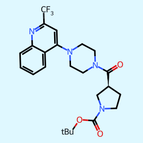 CC(C)(C)OC(=O)N1CC[C@H](C(=O)N2CCN(c3cc(C(F)(F)F)nc4ccccc34)CC2)C1